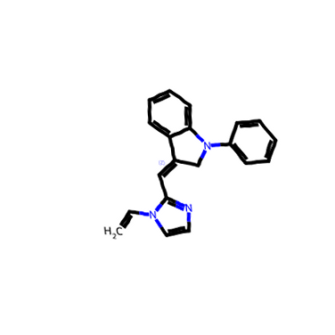 C=Cn1ccnc1/C=C1\CN(c2ccccc2)c2ccccc21